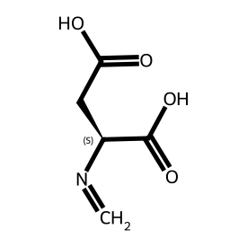 C=N[C@@H](CC(=O)O)C(=O)O